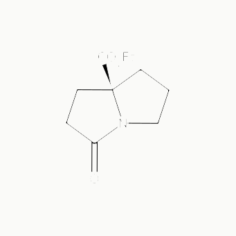 CCOC(=O)[C@@]12CCCN1C(=O)CC2